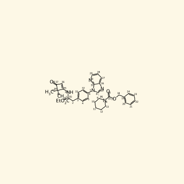 CCOC(=O)[C@H](Cc1ccc(-n2c([C@H]3CCCCN3C(=O)OCc3ccccc3)nc3cccnc32)cc1)NC1=CC(=O)C1(C)C